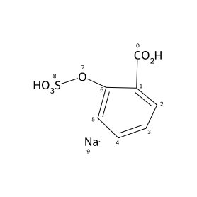 O=C(O)c1ccccc1OS(=O)(=O)O.[Na]